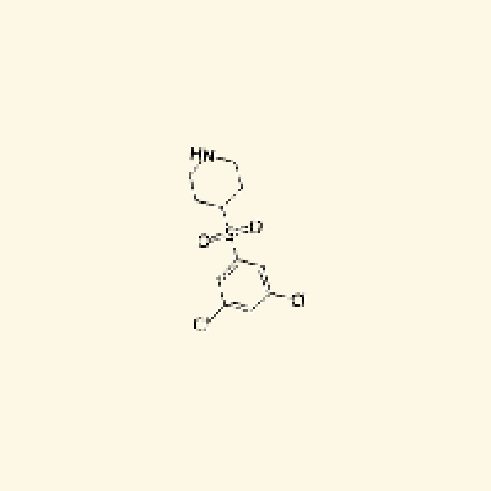 O=S(=O)(c1cc(Cl)cc(Cl)c1)C1CCNCC1